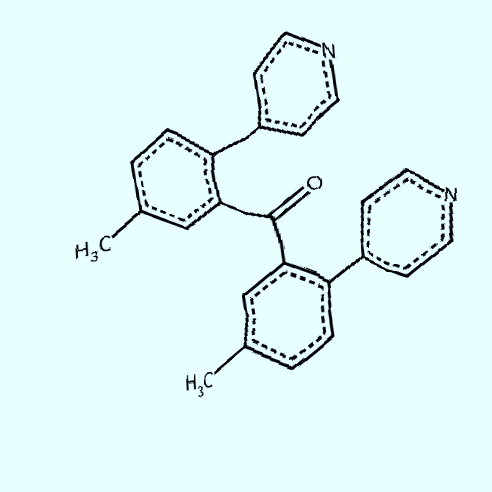 Cc1ccc(-c2ccncc2)c(C(=O)c2cc(C)ccc2-c2ccncc2)c1